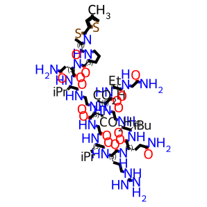 CC[C@H](NC(=O)[C@H](CC(=O)O)NC(=O)CNC(=O)C(NC(=O)[C@H](CCC(N)=O)NC(=O)[C@H](CCCNC(=N)N)NC(=O)[C@H](CC(C)C)NC(=O)CNC(=O)[C@H](CC(=O)O)NC(=O)CNC(=O)C(NC(=O)[C@H](CC(N)=O)NC(=O)[C@@H]1CCCN1C(=O)[C@@H]1CSC(c2cc(C)cs2)=N1)C(C)C)[C@@H](C)CC)C(=O)NCC(N)=O